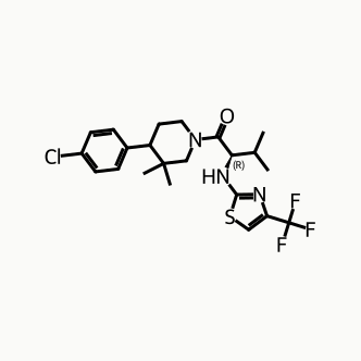 CC(C)[C@@H](Nc1nc(C(F)(F)F)cs1)C(=O)N1CCC(c2ccc(Cl)cc2)C(C)(C)C1